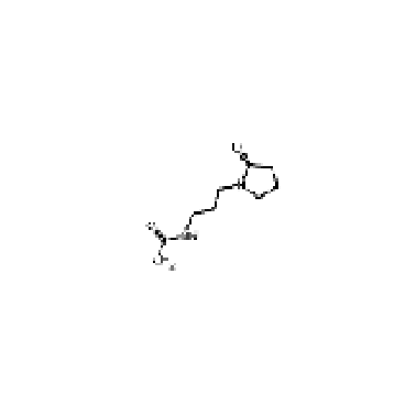 [CH2]C(=O)NCCCN1CCCC1=O